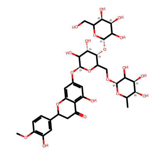 COc1ccc(C2CC(=O)c3c(O)cc(O[C@@H]4OC(CO[C@@H]5OC(C)[C@H](O)[C@H](O)C5O)[C@@H](O[C@@H]5OC(CO)[C@@H](O)[C@@H](O)C5O)[C@@H](O)C4O)cc3O2)cc1O